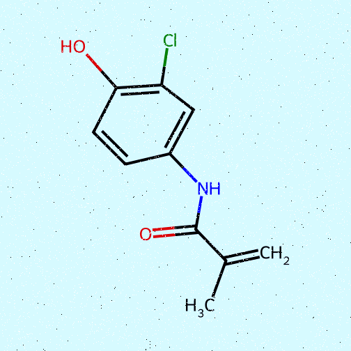 C=C(C)C(=O)Nc1ccc(O)c(Cl)c1